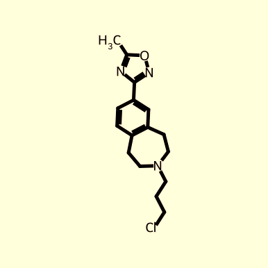 Cc1nc(-c2ccc3c(c2)CCN(CCCCl)CC3)no1